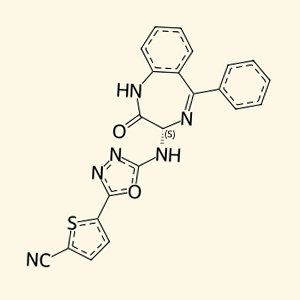 N#Cc1ccc(-c2nnc(N[C@H]3N=C(c4ccccc4)c4ccccc4NC3=O)o2)s1